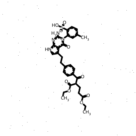 CCOC(=O)CCC(C(=O)OCC)C(=O)c1ccc(CCc2c[nH]c3nc(N)n(-c4cc(C)ccc4S(=O)(=O)O)c(=O)c23)cc1